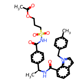 CC(=O)OCCCS(=O)(=O)NC(=O)c1ccc([C@H](C)NC(=O)c2cccc3ccn(Cc4ccc(C)cc4)c23)cc1